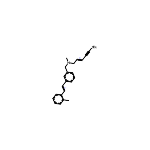 Cc1ccccc1/C=C/c1cccc(CN(C)C/C=C/C#CC(C)(C)C)c1